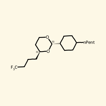 CCCCCC1CCC([C@H]2OCC[C@H](CCCC(F)(F)F)O2)CC1